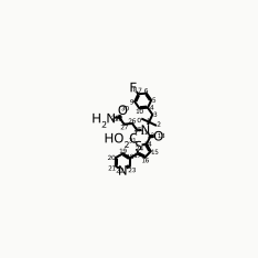 CC(C)(Cc1ccc(F)cc1)N(C(=O)c1ccc(-c2cccnc2)s1)[C@@H](CCC(N)=O)C(=O)O